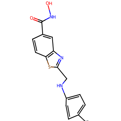 CC(C)c1ccc(NCc2nc3cc(C(=O)NO)ccc3s2)cc1